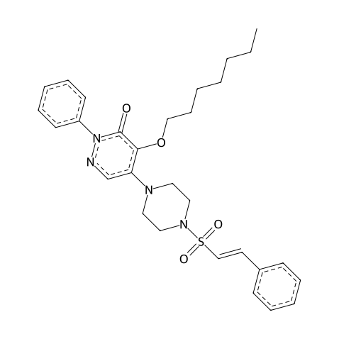 CCCCCCCOc1c(N2CCN(S(=O)(=O)/C=C/c3ccccc3)CC2)cnn(-c2ccccc2)c1=O